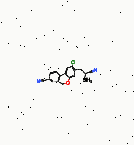 N#Cc1ccc2c(c1)COc1cc(CC([SiH3])C#N)c(Cl)cc1-2